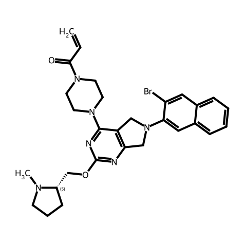 C=CC(=O)N1CCN(c2nc(OC[C@@H]3CCCN3C)nc3c2CN(c2cc4ccccc4cc2Br)C3)CC1